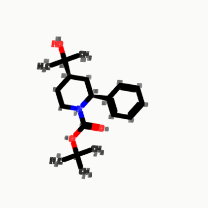 CC(C)(C)OC(=O)N1CC[C@@H](C(C)(C)O)C[C@H]1c1ccccc1